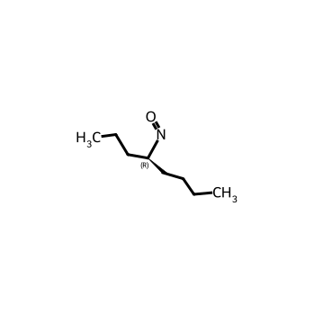 CCCC[C@@H](CCC)N=O